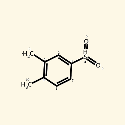 [CH2]c1cc([SH](=O)=O)ccc1C